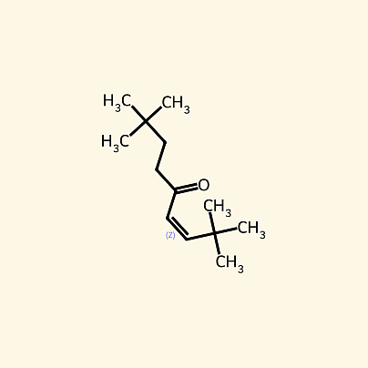 CC(C)(C)/C=C\C(=O)CCC(C)(C)C